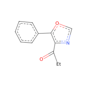 CCC(=O)c1ncoc1-c1ccccc1